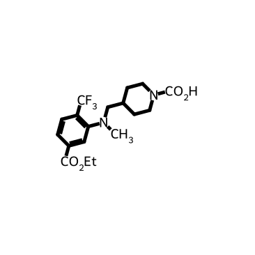 CCOC(=O)c1ccc(C(F)(F)F)c(N(C)CC2CCN(C(=O)O)CC2)c1